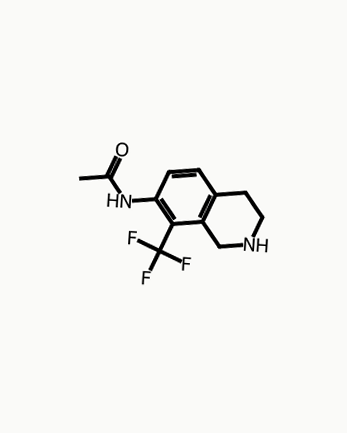 CC(=O)Nc1ccc2c(c1C(F)(F)F)CNCC2